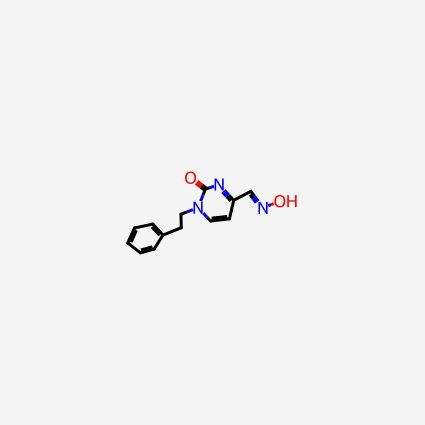 O=c1nc(C=NO)ccn1CCc1ccccc1